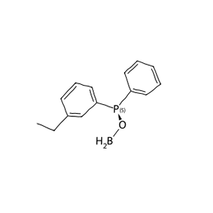 BO[P@](c1ccccc1)c1cccc(CC)c1